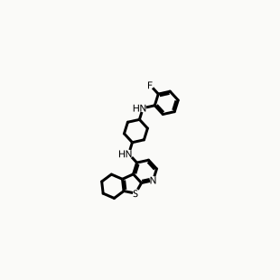 Fc1ccccc1NC1CCC(Nc2ccnc3sc4c(c23)CCCC4)CC1